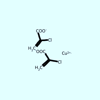 C=C(Cl)C(=O)[O-].C=C(Cl)C(=O)[O-].[Cu+2]